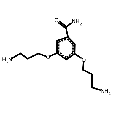 NCCCOc1cc(OCCCN)cc(C(N)=O)c1